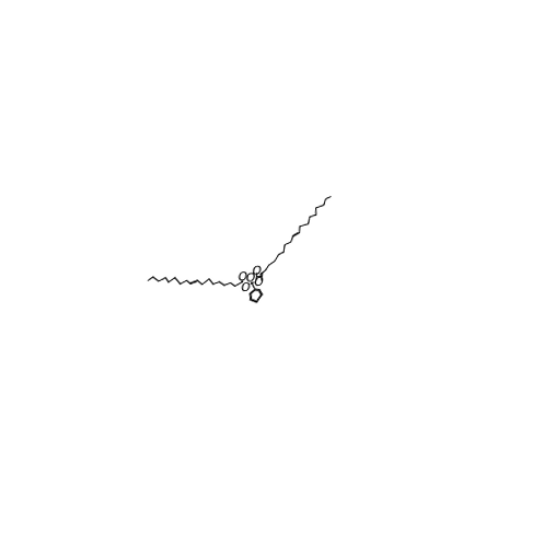 CCCCCCCCC=CCCCCCCCC(=O)OC(O)(OC(=O)CCCCCCCC=CCCCCCCCC)c1ccccc1